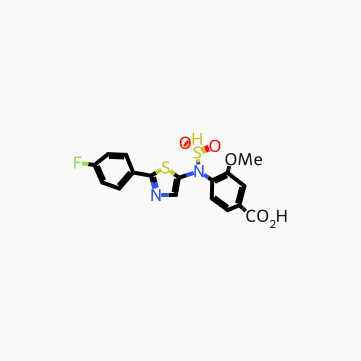 COc1cc(C(=O)O)ccc1N(c1cnc(-c2ccc(F)cc2)s1)[SH](=O)=O